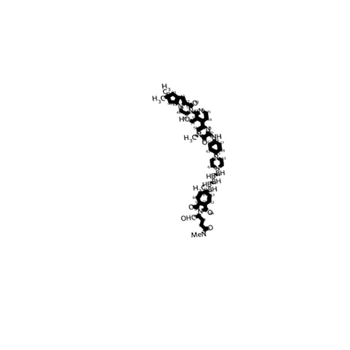 CNC(=O)CCC(C=O)N1C(=O)C2=C(C=CC(C)(BBBBBN3CCN(c4ccc(Nc5nc(-c6ccnc(N7CCn8c(cc9c8CC(C)(C)C9)C7=O)c6CO)cn(C)c5=O)cc4)CC3)C=C2)C1=O